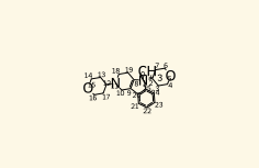 C[N+]1(C2CCOCC2)C2=C(CN(C3CCOCC3)CC2)c2ccccc21